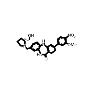 COc1cc(C2=CC3=C(CC2)C(=O)Nc2cc(CN4CCC[C@@H]4CO)ccc2N3)ccc1[N+](=O)[O-]